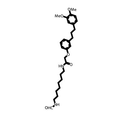 COc1ccc(CCCc2cccc(OCC(=O)NCCCCCCCCNC=O)c2)cc1OC